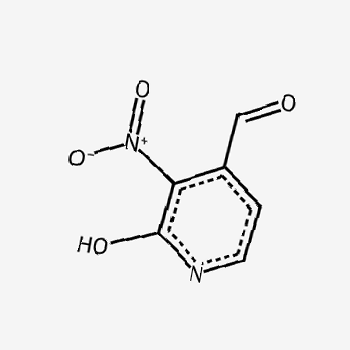 O=Cc1ccnc(O)c1[N+](=O)[O-]